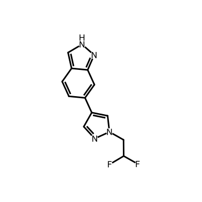 FC(F)Cn1cc(-c2ccc3c[nH]nc3c2)cn1